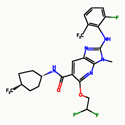 Cn1c(Nc2c(F)cccc2C(F)(F)F)nc2cc(C(=O)N[C@H]3CC[C@H](C(F)(F)F)CC3)c(OCC(F)F)nc21